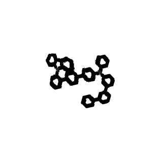 c1ccc(-c2cccc(-c3cccc(N(c4ccccc4)c4ccc(-c5ccc(-c6ccccc6-n6c7ccccc7c7ccccc76)cc5)cc4)c3)c2)cc1